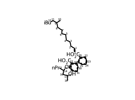 C=CCCCCCCCC(C)CC(C)CC.CCCC(O)CC(C)O.O=C(O)c1ccccc1.O=C(O)c1ccccc1